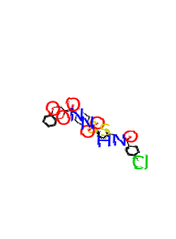 O=C(NCc1ccc(S(=O)(=O)N2CCN(C(=O)C3COc4ccccc4O3)CC2)s1)c1ccc(Cl)cc1